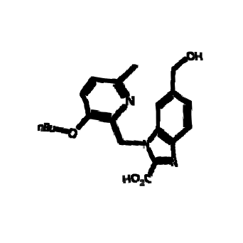 CCCCOc1ccc(C)nc1Cn1c(C(=O)O)nc2ccc(CO)cc21